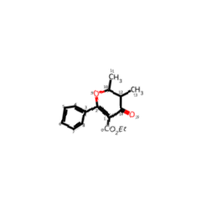 CCOC(=O)C1=C(c2ccccc2)OC(C)C(C)C1=O